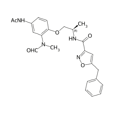 CC(=O)Nc1ccc(OC[C@@H](C)NC(=O)c2cc(Cc3ccccc3)on2)c(N(C)C=O)c1